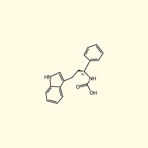 O=C(O)N[C@@H](CCc1c[nH]c2ccccc12)c1ccccc1